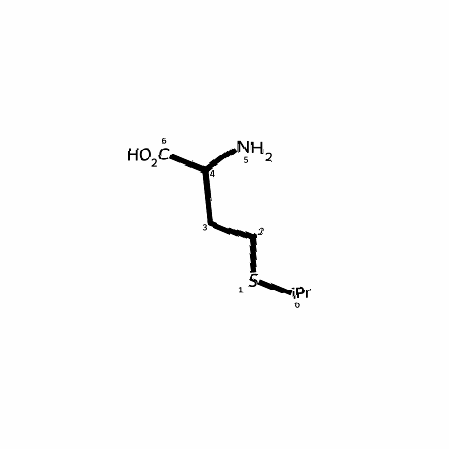 CC(C)SCCC(N)C(=O)O